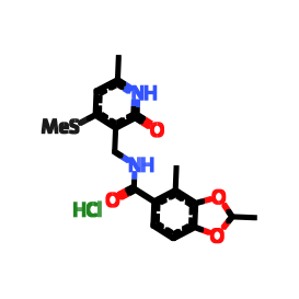 CSc1cc(C)[nH]c(=O)c1CNC(=O)c1ccc2c(c1C)OC(C)O2.Cl